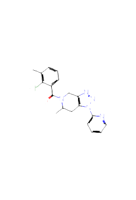 Cc1cccc(C(=O)N2Cc3nnn(-c4ccccn4)c3CC2C)c1Cl